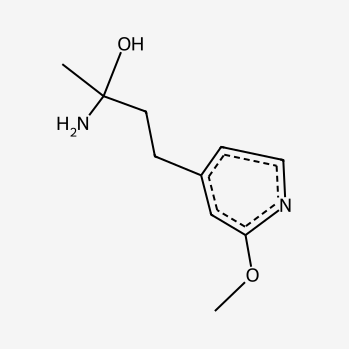 COc1cc(CCC(C)(N)O)ccn1